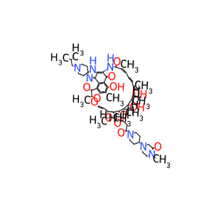 CO[C@H]1/C=C/O[C@@]2(C)Oc3c(C)c(O)c4c(c3C2=O)C2=NC3(CCN(CC(C)C)CC3)NC2=C(NC(=O)/C(C)=C\C=C\[C@H](C)[C@H](O)[C@@H](C)[C@@H](O)[C@@H](C)[C@H](OC(=O)CC(=O)N2CCC(N3CCN(C)C(=O)C3)CC2)[C@@H]1C)C4=O